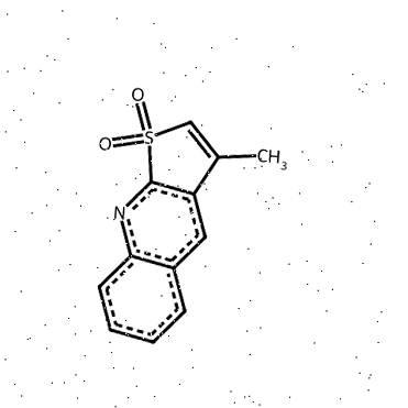 CC1=CS(=O)(=O)c2nc3ccccc3cc21